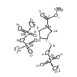 CC(C)(C)OC(=O)N1CC[C@@H](COS(=O)(=O)C(F)(F)F)C1.O=S(=O)(OS(=O)(=O)C(F)(F)F)C(F)(F)F